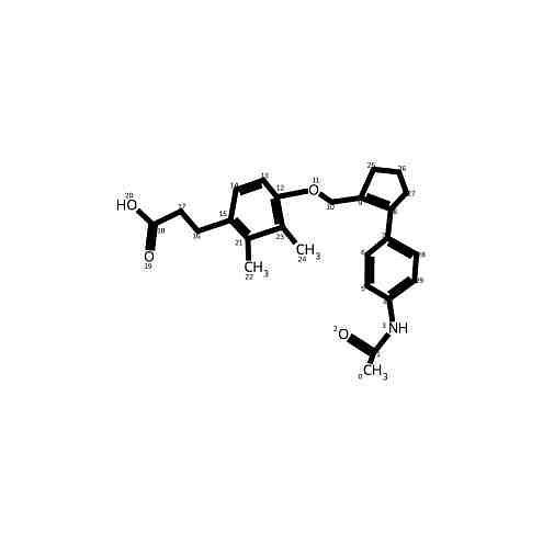 CC(=O)Nc1ccc(C2=C(COc3ccc(CCC(=O)O)c(C)c3C)CCC2)cc1